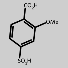 COc1cc(S(=O)(=O)O)ccc1C(=O)O